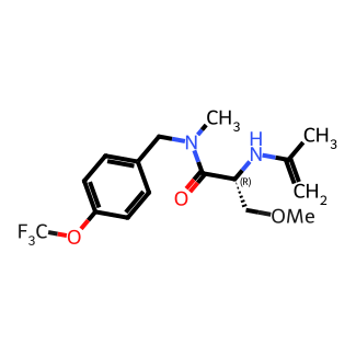 C=C(C)N[C@H](COC)C(=O)N(C)Cc1ccc(OC(F)(F)F)cc1